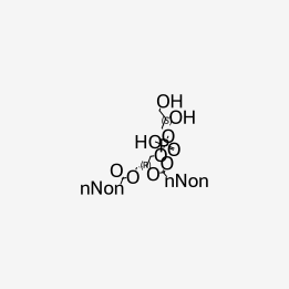 CCCCCCCCCC(=O)OC[C@H](COP(=O)(O)OC[C@@H](O)CO)OC(=O)CCCCCCCCC